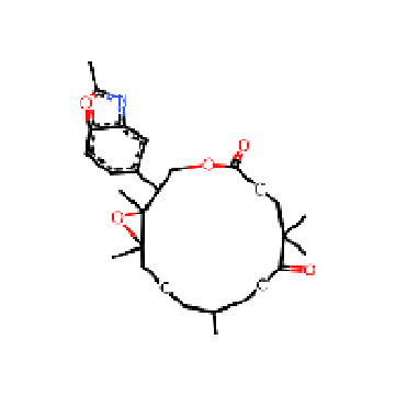 Cc1nc2cc(C3COC(=O)CCC(C)(C)C(=O)CCC(C)CCCC4(C)OC34C)ccc2o1